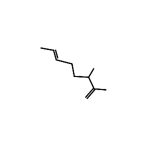 C=C(C)C(C)CCC=CC